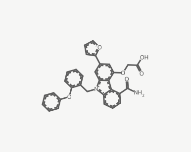 NC(=O)c1cccc2c1c1c(OCC(=O)O)cc(-c3ccco3)cc1n2Cc1ccccc1Oc1ccccc1